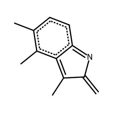 C=C1N=c2ccc(C)c(C)c2=C1C